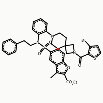 CCOC(=O)c1oc2ccc(S(=O)(=O)N(CCc3ccccc3)c3ccccc3N3CCC4(CC3)CN(C(=O)c3sccc3Br)C4)cc2c1C